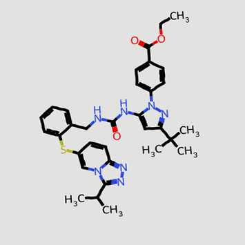 CCOC(=O)c1ccc(-n2nc(C(C)(C)C)cc2NC(=O)NCc2ccccc2Sc2ccc3nnc(C(C)C)n3c2)cc1